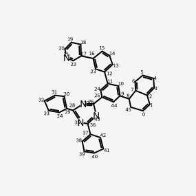 C1=Cc2ccccc2C(c2cc(-c3cccc(-c4cccnc4)c3)cc(-c3nc(-c4ccccc4)nc(-c4ccccc4)n3)c2)C1